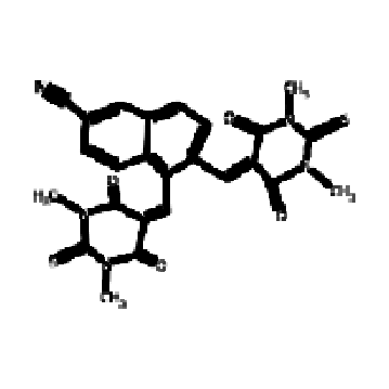 CN1C(=O)C(=Cc2ccc3cc(C#N)ccc3c2C=C2C(=O)N(C)C(=S)N(C)C2=O)C(=O)N(C)C1=S